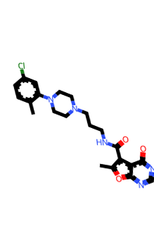 Cc1ccc(Cl)cc1N1CCN(CCCNC(=O)c2c(C)oc3ncn(C)c(=O)c23)CC1